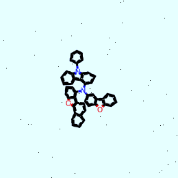 c1ccc(-n2c3ccccc3c3c(N(c4ccc5oc6ccccc6c5c4)c4cccc5oc6c7ccccc7ccc6c45)cccc32)cc1